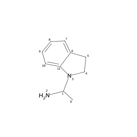 CC(N)N1CCc2ccccc21